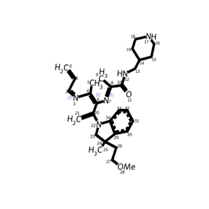 C=C\C=N/C(C)=C(/N=C(\C)C(=O)NCC1CCNCC1)C(=C)N1CC(C)(CCOC)c2ccccc21